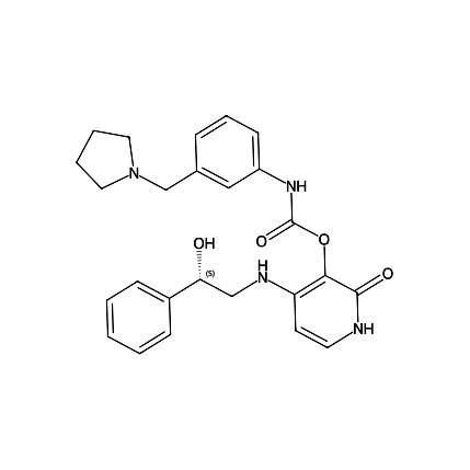 O=C(Nc1cccc(CN2CCCC2)c1)Oc1c(NC[C@@H](O)c2ccccc2)cc[nH]c1=O